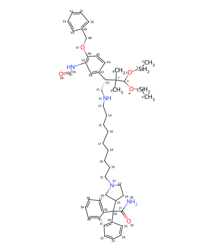 C[SiH2]OC(O[SiH2]C)C(C)(C)[C@H](CNCCCCCCCCCN1CCC(C(C(N)=O)(c2ccccc2)c2ccccc2)C1)c1ccc(OCc2ccccc2)c(NC=O)c1